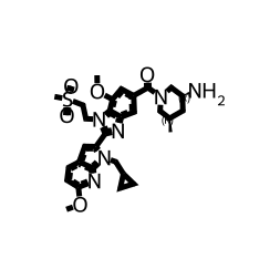 COc1ccc2cc(-c3nc4cc(C(=O)N5C[C@H](C)C[C@@H](N)C5)cc(OC)c4n3CCS(C)(=O)=O)n(CC3CC3)c2n1